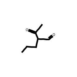 CCCC([C]=O)C(C)=O